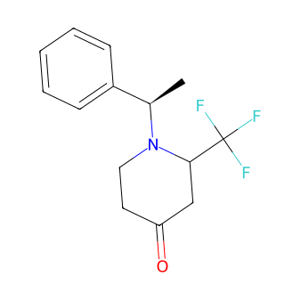 C[C@H](c1ccccc1)N1CCC(=O)CC1C(F)(F)F